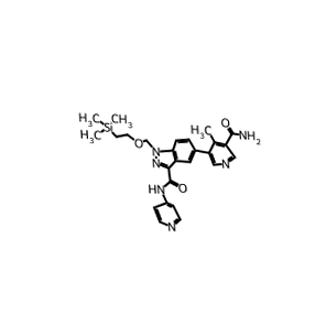 Cc1c(C(N)=O)cncc1-c1ccc2c(c1)c(C(=O)Nc1ccncc1)nn2COCC[Si](C)(C)C